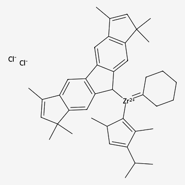 CC1=CC(C)(C)c2cc3c(cc21)-c1cc2c(cc1[CH]3[Zr+2]([C]1=C(C)C(C(C)C)=CC1C)=[C]1CCCCC1)C(C)(C)C=C2C.[Cl-].[Cl-]